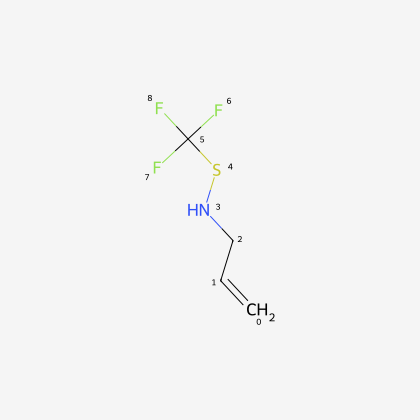 C=CCNSC(F)(F)F